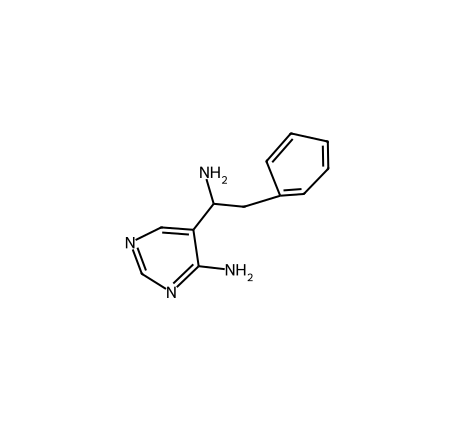 Nc1ncncc1C(N)Cc1ccccc1